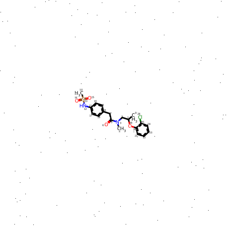 CC(CN(C)C(=O)Cc1ccc(NS(C)(=O)=O)cc1)Oc1ccccc1Cl